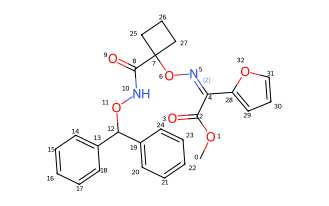 COC(=O)/C(=N\OC1(C(=O)NOC(c2ccccc2)c2ccccc2)CCC1)c1ccco1